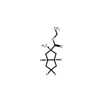 CCOC(=O)[C@@]1(C)C[C@H]2CC(F)(F)C[C@H]2C1